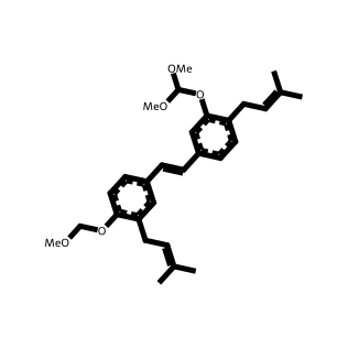 COCOc1ccc(C=Cc2ccc(CC=C(C)C)c(OC(OC)OC)c2)cc1CC=C(C)C